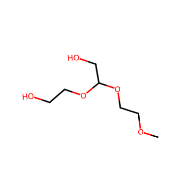 COCCOC(CO)OCCO